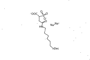 CCCCCCCCCCCCCCCCNC(=O)CC(C(=O)[O-])S(=O)(=O)[O-].[Na+].[Na+]